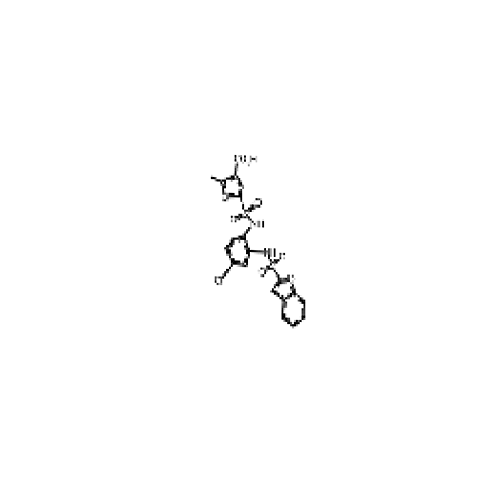 Cc1oc(S(=O)(=O)Nc2ccc(Cl)cc2NS(=O)(=O)c2cc3ccccc3o2)cc1C(=O)O